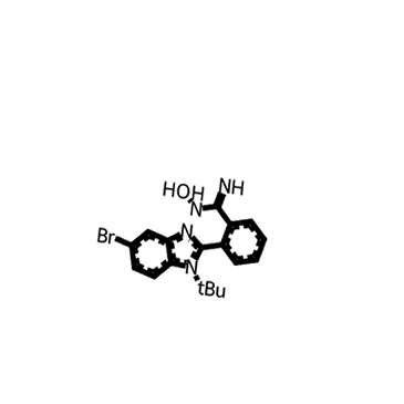 CC(C)(C)n1c(-c2ccccc2C(=N)NO)nc2cc(Br)ccc21